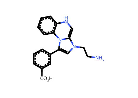 NCCN1C=C(c2cccc(C(=O)O)c2)N2C1=CNc1ccccc12